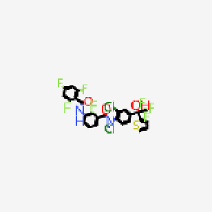 O=C(Nc1cccc(C(=O)N(Cl)c2ccc(C(O)(c3cccs3)C(F)(F)F)cc2Cl)c1F)c1c(F)cc(F)cc1F